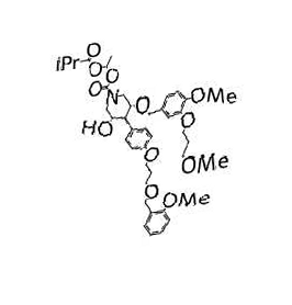 COCCCOc1cc(CO[C@H]2CN(C(=O)OC(C)OC(=O)C(C)C)C[C@@H](O)C2c2ccc(OCCCOCc3ccccc3OC)cc2)ccc1OC